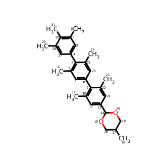 Cc1cc(-c2c(C)cc(-c3c(C)cc(C4OCC(C)CO4)cc3C)cc2C)cc(C)c1C